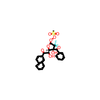 CS(=O)(=O)OOC1O[C@H](C(O)C(=O)c2ccc3ccccc3c2)[C@](O)(C(=O)c2ccccc2)C1(F)F